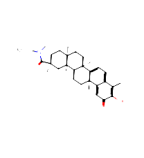 CON(C)C(=O)[C@]1(C)CC[C@]2(C)CC[C@]3(C)C4=CC=C5C(=CC(=O)C(O)=C5C)[C@]4(C)CC[C@@]3(C)[C@@H]2C1